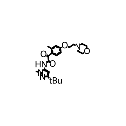 Cc1cc(OCCN2CCOCC2)ccc1C(=O)C(=O)Nc1cc(C(C)(C)C)nn1C